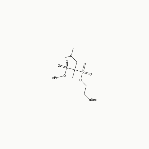 CCCCCCCCCCCCOS(=O)(=O)C(C)(CN(C)C)S(=O)(=O)OCCC